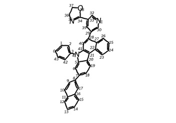 c1ccc(-n2c3cc(-c4ccc5ccccc5c4)ccc3c3c4ccccc4c(-c4cncc(C5=NCCO5)c4)cc32)cc1